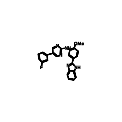 COc1ccc(-c2nc3ccccc3[nH]2)cc1Nc1ncc(-c2cccc(F)c2)cn1